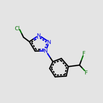 FC(F)c1cccc(-n2cc(CCl)nn2)c1